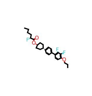 CCCC[C@H](F)C(=O)O[C@H]1CC[C@H](c2ccc(-c3ccc(OCCC)c(F)c3F)cc2)CC1